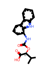 CC(C)[C@H](OC(=O)Nc1cccc2c1[nH]c1ccccc12)C(=O)O